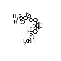 CNC1CCN(c2ccc(NC(=O)Nc3cccc(Oc4ccnc5cc(OC)c(OC)cc45)c3)cc2C(F)(F)F)CC1